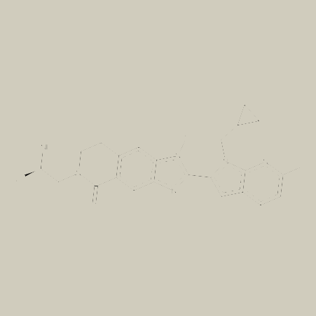 C[C@@H](N)CN1CCc2cc3c(cc2C1=O)nc(-c1cc2ccc(Cl)nc2n1CC1CC1)n3C